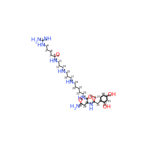 N=C(N)NCCCCC(=O)NCCCNCCCNCCCCCNC(=O)[C@H](CC(N)=O)NC(=O)Cc1ccc(O)cc1O